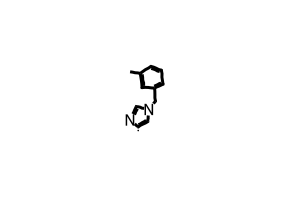 Cc1cccc(Cn2c[c]nc2)c1